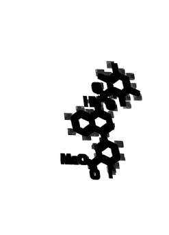 COC(=O)c1cc(-c2ccc(NS(=O)(=O)c3c(C)c(C)cc(C)c3C)c3ccccc23)ccc1F